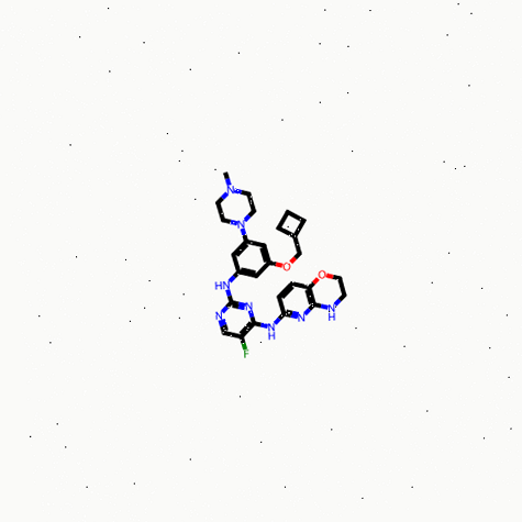 CN1CCN(c2cc(Nc3ncc(F)c(Nc4ccc5c(n4)NCCO5)n3)cc(OCC3CCC3)c2)CC1